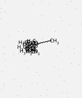 CCCCCCCCCC/C=C/COC1O[C@H](COC(C)=O)[C@@H](O[C@@H]2O[C@H](COC(C)=O)[C@H](OC(C)=O)[C@H](OC(C)=O)[C@H]2OC(C)=O)[C@H](OC(C)=O)[C@H]1OC(C)=O